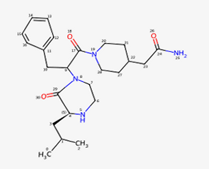 CC(C)C[C@@H]1NCCN(C(Cc2ccccc2)C(=O)N2CCC(CC(N)=O)CC2)C1=O